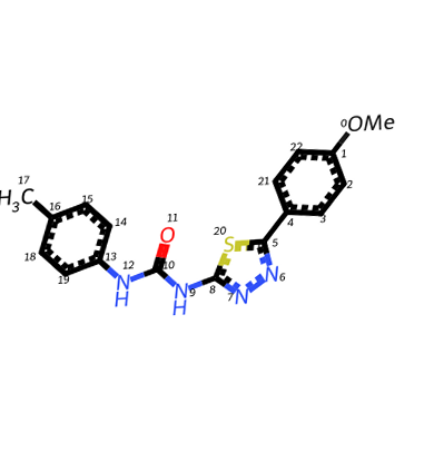 COc1ccc(-c2nnc(NC(=O)Nc3ccc(C)cc3)s2)cc1